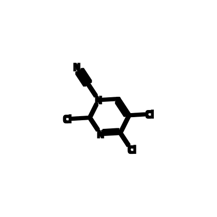 N#CN1C=C(Cl)C(Cl)=NC1Cl